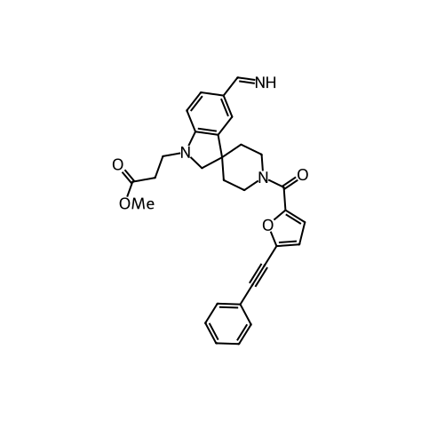 COC(=O)CCN1CC2(CCN(C(=O)c3ccc(C#Cc4ccccc4)o3)CC2)c2cc(C=N)ccc21